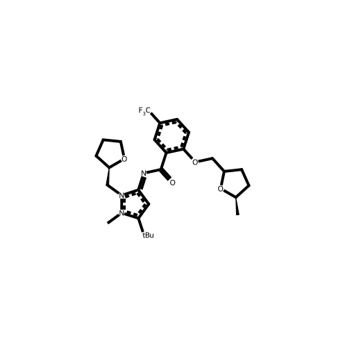 C[C@@H]1CCC(COc2ccc(C(F)(F)F)cc2C(=O)N=c2cc(C(C)(C)C)n(C)n2C[C@H]2CCCO2)O1